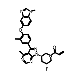 C=CC(=O)N1C[C@H](F)C[C@@H](n2nc(-c3ccc(Oc4ccc5c(c4)ncn5C)c(C)c3)c3c(C)ncnc32)C1